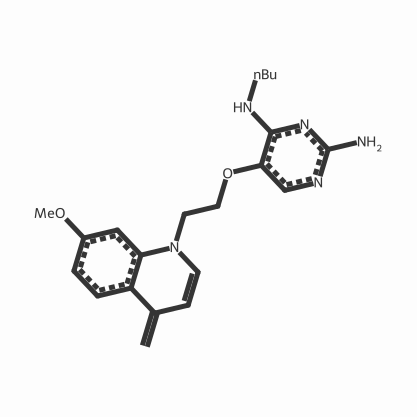 C=C1C=CN(CCOc2cnc(N)nc2NCCCC)c2cc(OC)ccc21